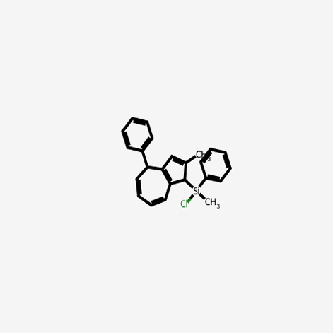 CC1=CC2=C(C=CC=CC2c2ccccc2)C1[Si](C)(Cl)c1ccccc1